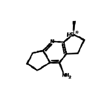 C[Si@H]1CCc2c1nc1c(c2N)CCC1